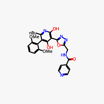 CCCCc1nc(O)c(-c2nnc(CNC(=O)c3ccncc3)o2)c(O)c1-c1c(OC)cccc1OC